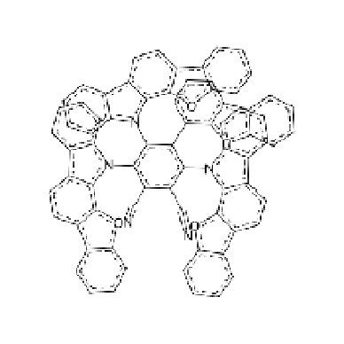 N#Cc1c(C#N)c(-n2c3ccccc3c3ccc4c5ccccc5oc4c32)c(-n2c3ccccc3c3ccc4c5ccccc5oc4c32)c(-c2cccc3c2oc2ccccc23)c1-n1c2ccccc2c2ccc3c4ccccc4oc3c21